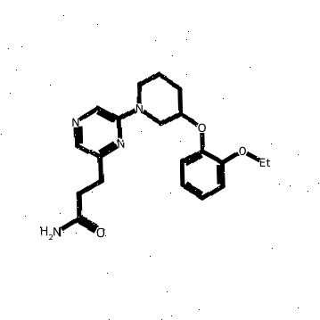 CCOc1ccccc1OC1CCCN(c2cncc(CCC(N)=O)n2)C1